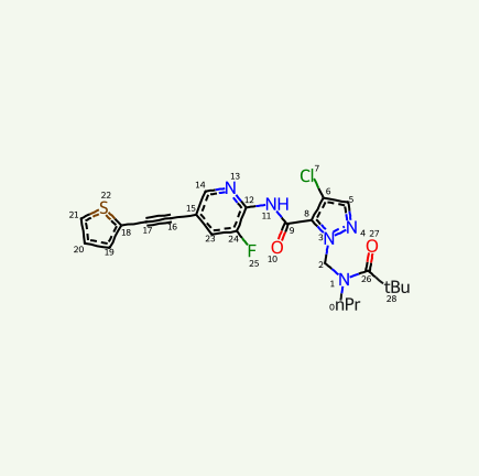 CCCN(Cn1ncc(Cl)c1C(=O)Nc1ncc(C#Cc2cccs2)cc1F)C(=O)C(C)(C)C